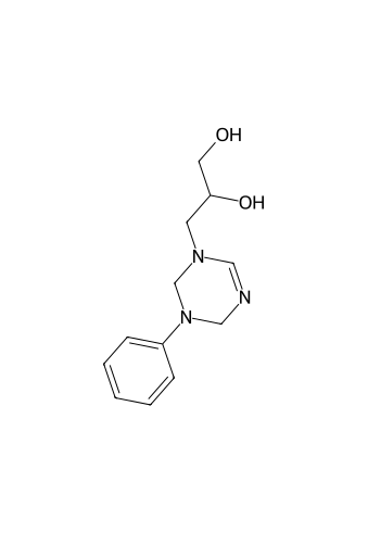 OCC(O)CN1C=NCN(c2ccccc2)C1